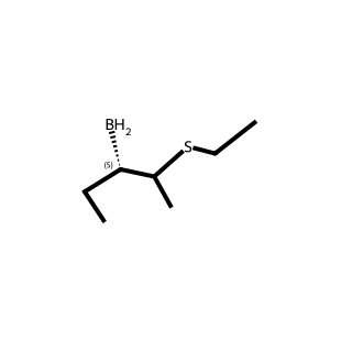 B[C@@H](CC)C(C)SCC